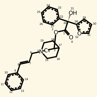 O=C(OC1C[N+]2(C/C=C/c3ccccc3)CCC1CC2)[C@@](O)(c1ccccc1)c1ccco1